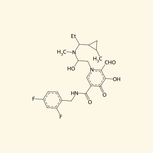 CCC(C1CC1C)N(C)C(O)Cn1cc(C(=O)NCc2ccc(F)cc2F)c(=O)c(O)c1C=O